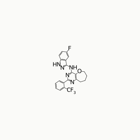 Fc1ccc2[nH]nc(Nc3nc(-c4ccccc4C(F)(F)F)nc4c3OCCCC4)c2c1